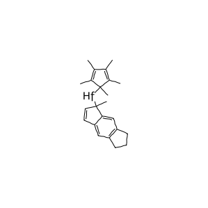 CC1=C(C)[C](C)([Hf][C]2(C)C=Cc3cc4c(cc32)CCC4)C(C)=C1C